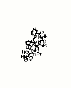 CCCC(NC(=O)C1[C@H]2CC=C[C@H]2CN1C(=O)[C@@H](NC(=O)[C@@H](NC(=O)c1cnccn1)C(C)C)C(C)C)C(O)C(=O)N[C@H](C)CC